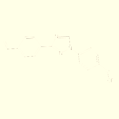 C=Cc1ccc(-c2ncn(-c3ccc(OC(F)(F)F)cc3)n2)cc1